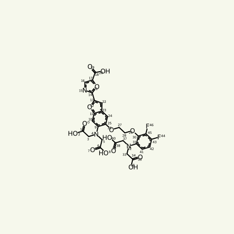 O=C(O)CN(CC(=O)O)c1cc2oc(-c3ncc(C(=O)O)o3)cc2cc1OCCOc1c(N(CC(=O)O)CC(=O)O)ccc(F)c1F